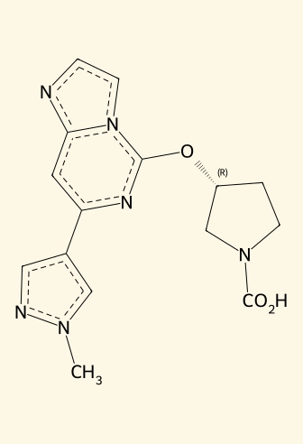 Cn1cc(-c2cc3nccn3c(O[C@@H]3CCN(C(=O)O)C3)n2)cn1